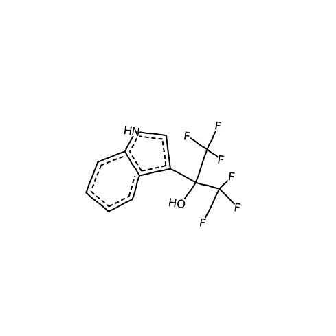 OC(c1c[nH]c2ccccc12)(C(F)(F)F)C(F)(F)F